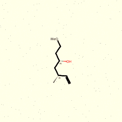 C=C[C@H](C)C[C@@H](O)CCOC